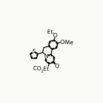 CCOC(=O)c1cn2c(cc1=O)-c1cc(OC)c(OCC)cc1CC2c1cccs1